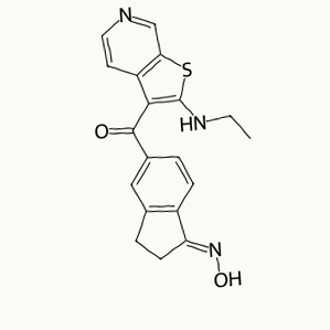 CCNc1sc2cnccc2c1C(=O)c1ccc2c(c1)CC/C2=N\O